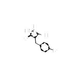 Cc1[nH][nH]c(=O)c1Cc1ccc(Br)cc1